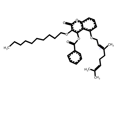 CCCCCCCCCCOc1c(OC(=O)c2ccccc2)c2c(OC/C=C(\C)CCC=C(C)C)cccc2oc1=O